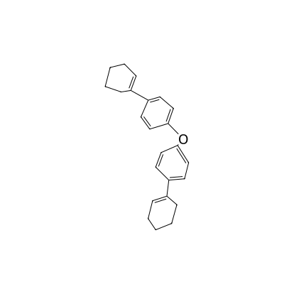 C1=C(c2ccc(Oc3ccc(C4=CCCCC4)cc3)cc2)CCCC1